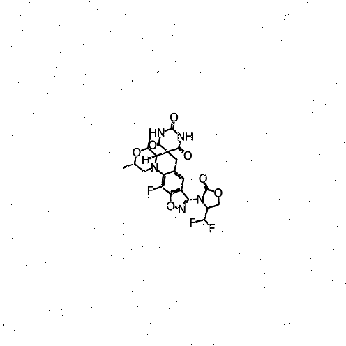 C[C@@H]1CN2c3c(cc4c(N5C(=O)OCC5C(F)F)noc4c3F)CC3(C(=O)NC(=O)NC3=O)[C@H]2[C@H](C)O1